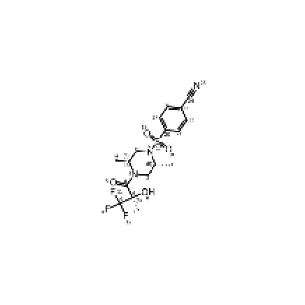 C[C@@H]1CN(C(=O)[C@@](C)(O)C(F)(F)F)[C@@H](C)CN1S(=O)(=O)c1ccc(C#N)cc1